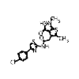 Cc1sc2c(c1CC(=O)Nc1nc(-c3ccc(Cl)cc3)cs1)c(=O)[nH]n2C